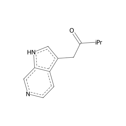 CC(C)C(=O)Cc1c[nH]c2cnccc12